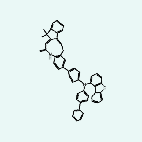 C=C1/C=C2\C(=C/Cc3cc(-c4ccc(N(c5ccc(-c6ccccc6)cc5)c5cccc6c5C5CC=CC=C5O6)cc4)ccc3N1)c1ccccc1C2(C)C